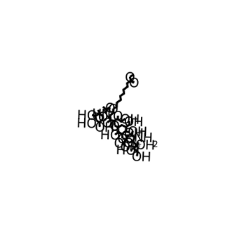 COC(=O)CCCCCCCCOC1OC(CO)C(OC2CC(CO)C(O)C(OC3(C(=O)O)CC(O)C(N)C([C@H](O)[C@H](O)CO)O3)C2O)C(OC2OC(C)C(O)C(O)C2O)C1NC(C)=O